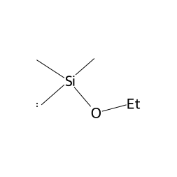 [CH][Si](C)(C)OCC